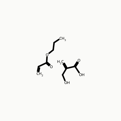 C=C(CO)C(=O)O.C=CC(=O)OCCC